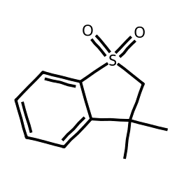 CC1(C)CS(=O)(=O)c2ccccc21